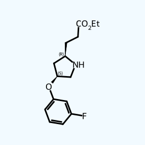 CCOC(=O)CC[C@@H]1C[C@H](Oc2cccc(F)c2)CN1